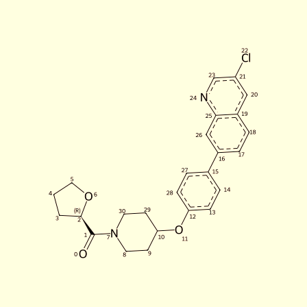 O=C([C@H]1CCCO1)N1CCC(Oc2ccc(-c3ccc4cc(Cl)cnc4c3)cc2)CC1